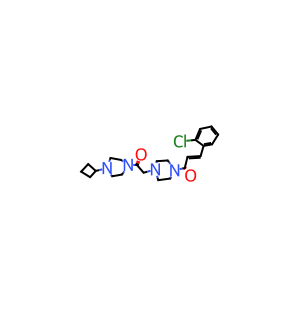 O=C(C=Cc1ccccc1Cl)N1CCN(CC(=O)N2CCN(C3CCC3)CC2)CC1